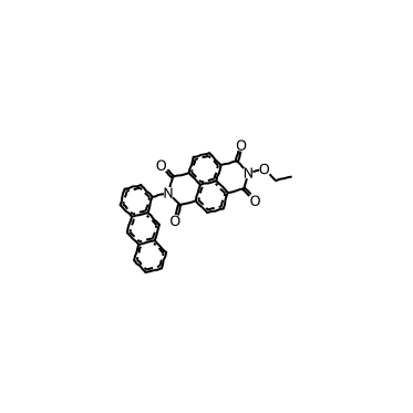 CCON1C(=O)c2ccc3c4c(ccc(c24)C1=O)C(=O)N(c1cccc2cc4ccccc4cc12)C3=O